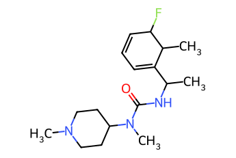 CC(NC(=O)N(C)C1CCN(C)CC1)C1=CC=CC(F)C1C